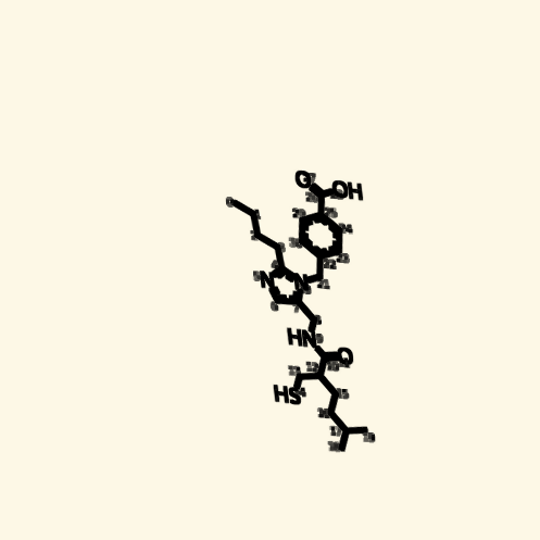 CCCCc1ncc(CNC(=O)C(CS)CCC(C)C)n1Cc1ccc(C(=O)O)cc1